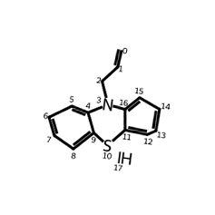 C=CCN1c2ccccc2Sc2ccccc21.I